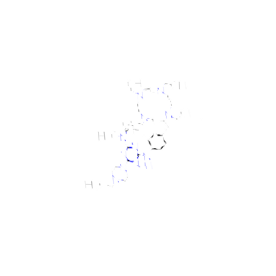 CCN1CCN(CC)CCN(CC)C(Cc2ccc(Nc3nc(N(C)C)nc(N4CCN(CC)CC4)n3)cc2)CN(CC)CC1